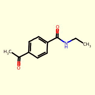 CCNC(=O)c1ccc(C(C)=O)cc1